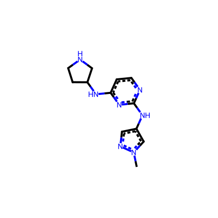 Cn1cc(Nc2nccc(NC3CCNC3)n2)cn1